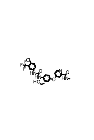 CCO.CNC(=O)c1cc(Oc2ccc(NC(=O)Nc3ccc(Cl)c(C(F)(F)F)c3)cc2)ccn1